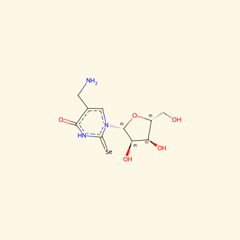 NCc1cn([C@@H]2O[C@H](CO)[C@@H](O)[C@H]2O)c(=[Se])[nH]c1=O